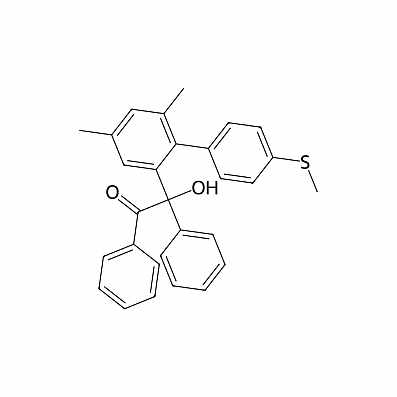 CSc1ccc(-c2c(C)cc(C)cc2C(O)(C(=O)c2ccccc2)c2ccccc2)cc1